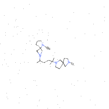 CCN1CCC2(CCN(C(C)(C)CCC(C)N3CC4(CCCN4C(C)(C)C)C3)C2)C1